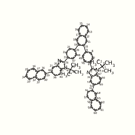 CC(C)(C)n1c(-c2ccc(-c3cc4ccccc4cc3-c3ccc(-c4nc5cc(-c6ccc7ccccc7c6)ccc5n4C(C)(C)C)cc3)cc2)nc2cc(-c3ccc4ccccc4c3)ccc21